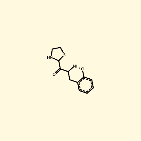 NC(Cc1ccccc1Cl)C(=O)C1NCCS1